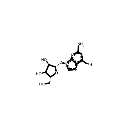 Nc1nc(S)c2ncn(O[C@@H]3O[C@H](CO)[C@@H](O)[C@H]3O)c2n1